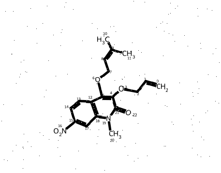 C=CCOc1c(OCC=C(C)C)c2ccc([N+](=O)[O-])cc2n(C)c1=O